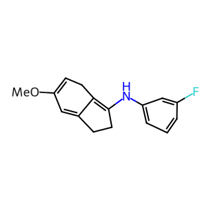 COC1=CCC2=C(Nc3cccc(F)c3)CCC2=C1